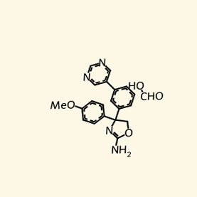 COc1ccc(C2(c3cccc(-c4cncnc4)c3)COC(N)=N2)cc1.O=CO